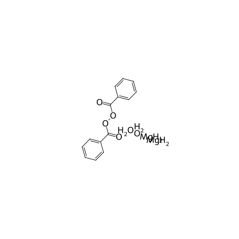 O.O.O=C(OOC(=O)c1ccccc1)c1ccccc1.[MgH2].[MgH2]